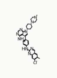 Cc1cc2cnc(Nc3ccc(-c4cn([C@H]5CC[C@H](N6CCN(C)CC6)CC5)c5ncnc(N)c45)cc3)nc2cc1Cl